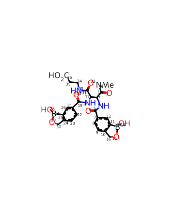 CNC(=O)C(NC(=O)c1ccc2c(c1)B(O)OC2)C(NC(=O)c1ccc2c(c1)B(O)OC2)C(=O)NCCC(=O)O